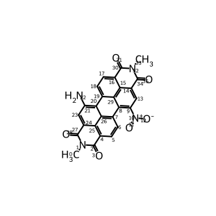 CN1C(=O)c2ccc3c4c([N+](=O)[O-])cc5c6c(ccc(c7c(N)cc(c2c37)C1=O)c64)C(=O)N(C)C5=O